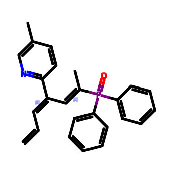 C=C/C=C(\C=C(/C)P(=O)(c1ccccc1)c1ccccc1)c1ccc(C)cn1